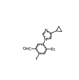 CCc1cc(F)c(C=O)cc1-n1cnc(C2CC2)c1